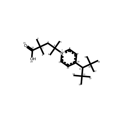 CC(C)(CC(C)(C)[n+]1ccc(C(C(C)(C)C)C(C)(C)C)cc1)C(=O)O